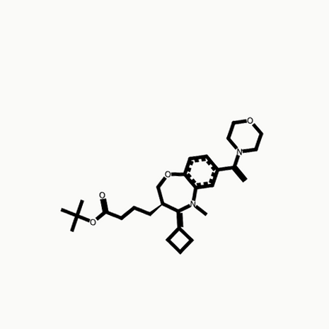 C=C(c1ccc2c(c1)N(C)C(=C1CCC1)[C@@H](CCCC(=O)OC(C)(C)C)CO2)N1CCOCC1